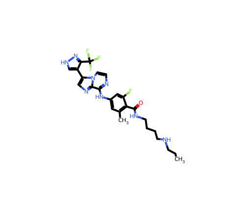 CCCNCCCCNC(=O)c1c(C)cc(Nc2nccn3c(-c4c[nH]nc4C(F)(F)F)cnc23)cc1F